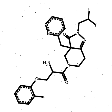 NC(COc1ccccc1F)C(=O)N1CCC2=NN(CC(F)F)C(=O)C2(Cc2ccccn2)C1